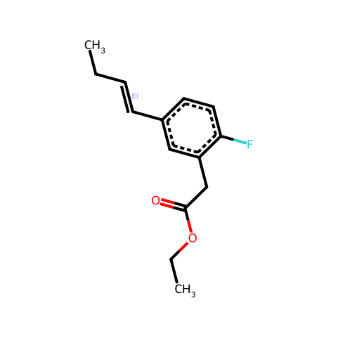 CC/C=C/c1ccc(F)c(CC(=O)OCC)c1